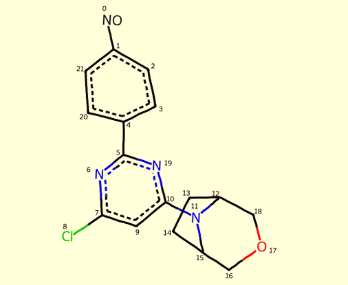 O=Nc1ccc(-c2nc(Cl)cc(N3C4CCC3COC4)n2)cc1